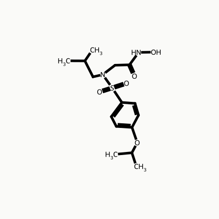 CC(C)CN(CC(=O)NO)S(=O)(=O)c1ccc(OC(C)C)cc1